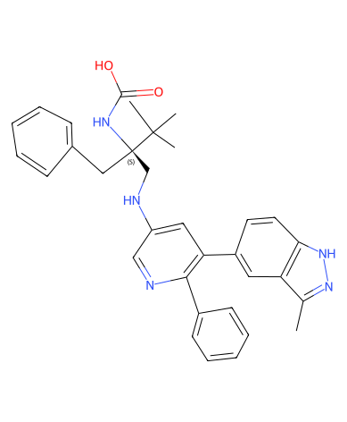 Cc1n[nH]c2ccc(-c3cc(NC[C@@](Cc4ccccc4)(NC(=O)O)C(C)(C)C)cnc3-c3ccccc3)cc12